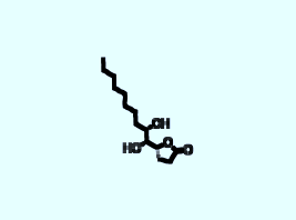 CCCCCCCC[C@@H](O)[C@H](O)[C@H]1CCC(=O)O1